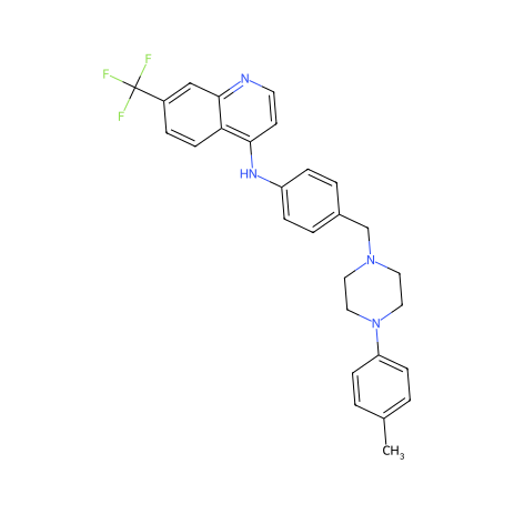 Cc1ccc(N2CCN(Cc3ccc(Nc4ccnc5cc(C(F)(F)F)ccc45)cc3)CC2)cc1